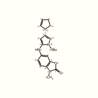 Cn1c(=O)oc2cc(Nc3cc([C@@H]4C=CCC4)nn3C(C)(C)C)ccc21